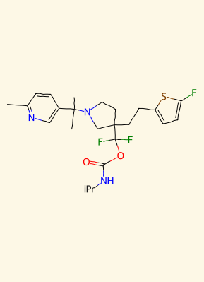 Cc1ccc(C(C)(C)N2CCC(CCc3ccc(F)s3)(C(F)(F)OC(=O)NC(C)C)C2)cn1